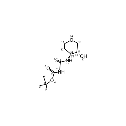 CC(C)(C)OC(=O)NC(=S)N[C@H]1CCOC[C@@H]1O